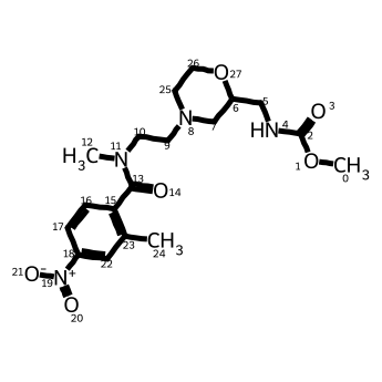 COC(=O)NCC1CN(CCN(C)C(=O)c2ccc([N+](=O)[O-])cc2C)CCO1